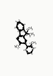 Cc1cc2c(cc1-c1nccnc1C)C(C)(C)c1ccccc1-2